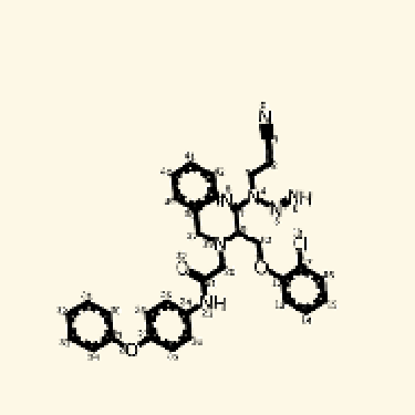 N#CCCN(N=N)C(=N)C(COc1ccccc1Cl)N(CC(=O)Nc1ccc(Oc2ccccc2)cc1)Cc1ccccc1